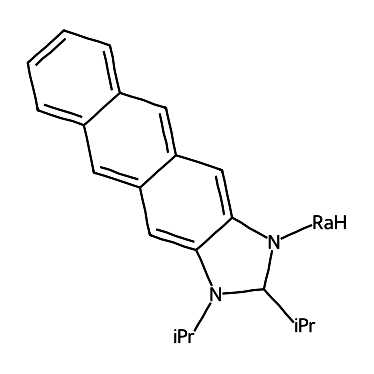 CC(C)C1[N]([RaH])c2cc3cc4ccccc4cc3cc2N1C(C)C